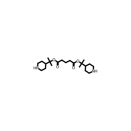 CC(C)(OC(=O)CCCC(=O)OC(C)(C)C1CCNCC1)C1CCNCC1